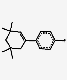 CC1(C)C=C(c2ccc(F)cc2)CC(C)(C)C1